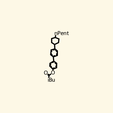 CCCCCC1CCC(c2ccc(-c3ccc(OC(=O)C(C)CC)cc3)cc2)CC1